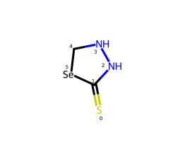 S=C1NNC[Se]1